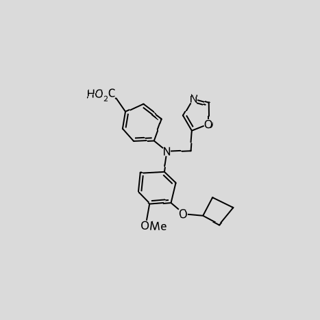 COc1ccc(N(Cc2cnco2)c2ccc(C(=O)O)cc2)cc1OC1CCC1